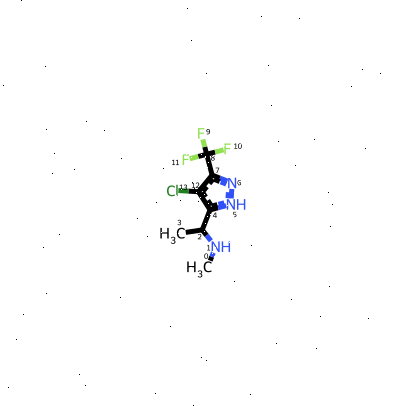 CNC(C)c1[nH]nc(C(F)(F)F)c1Cl